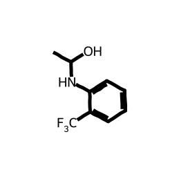 CC(O)Nc1ccccc1C(F)(F)F